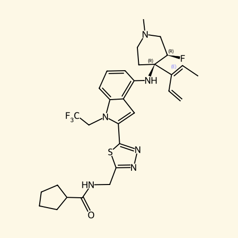 C=C/C(=C\C)[C@]1(Nc2cccc3c2cc(-c2nnc(CNC(=O)C4CCCC4)s2)n3CC(F)(F)F)CCN(C)C[C@H]1F